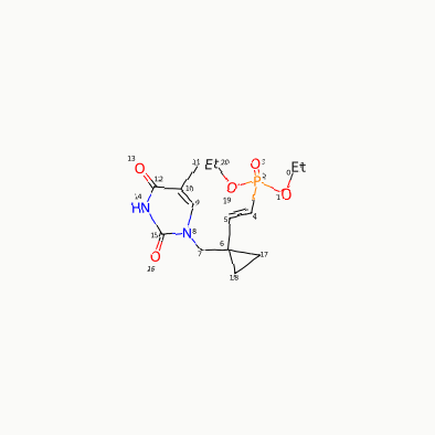 CCOP(=O)(C=CC1(Cn2cc(C)c(=O)[nH]c2=O)CC1)OCC